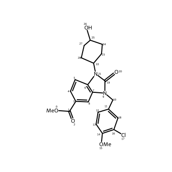 COC(=O)c1ccc2c(c1)n(Cc1ccc(OC)c(Cl)c1)c(=O)n2C1CCC(O)CC1